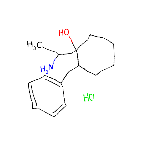 CC(N)C1(O)CCCCC1c1ccccc1.Cl